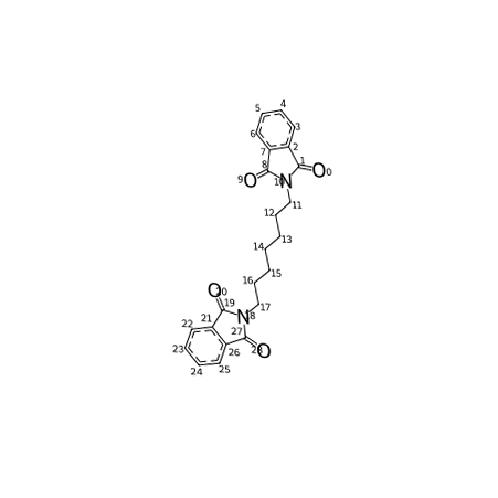 O=C1c2ccccc2C(=O)N1CCCCCCCN1C(=O)c2ccccc2C1=O